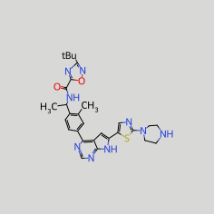 Cc1cc(-c2ncnc3[nH]c(-c4cnc(N5CCNCC5)s4)cc23)ccc1C(C)NC(=O)c1nc(C(C)(C)C)no1